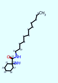 CCCCCCCCCCCCNC(=O)C1([NH])CCCCC1